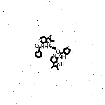 C#CCn1c(C)c(C)c2ccnc(NC(=O)c3ccccc3)c21.Cc1[nH]c2c(NC(=O)c3ccccc3)nccc2c1C